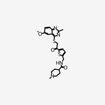 COc1ccc2nc(C)nc(SCC(=O)c3ccc(CNC(=O)C4CCN(C)CC4)s3)c2c1